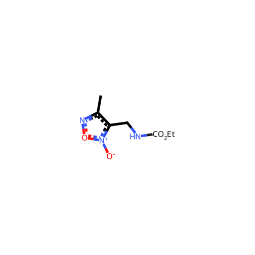 CCOC(=O)NCc1c(C)no[n+]1[O-]